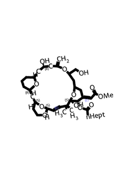 C=C1C[C@H](O)C[C@@H]2CCC[C@H](C[C@@H]3CCO[C@H](/C=C/C(C)(C)[C@]4(O)OC(C/C(=C\C(=O)OC)[C@@H]4OC(=O)CCCCCCC)CC(CO)O1)O3)O2